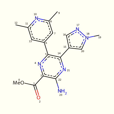 COC(=O)c1nc(-c2cc(C)nc(C)c2)c(-c2cnn(C)c2)nc1N